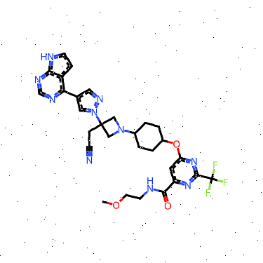 COCCNC(=O)c1cc(OC2CCC(N3CC(CC#N)(n4cc(-c5ncnc6[nH]ccc56)cn4)C3)CC2)nc(C(F)(F)F)n1